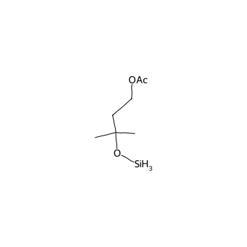 CC(=O)OCCC(C)(C)O[SiH3]